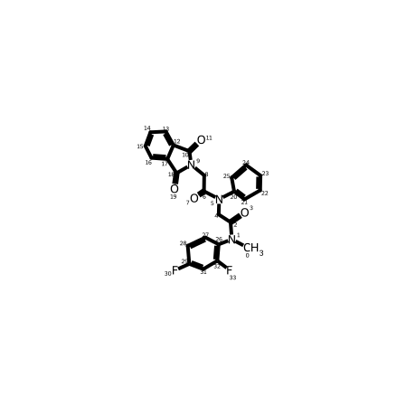 CN(C(=O)CN(C(=O)CN1C(=O)c2ccccc2C1=O)c1ccccc1)c1ccc(F)cc1F